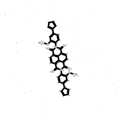 CSc1cc(C2=CCC=C2)ccc1N1C(=O)c2ccc3c4c(ccc(c24)C1=O)C(=O)N(c1ccc(C2C=CC=C2)cc1SC)C3=O